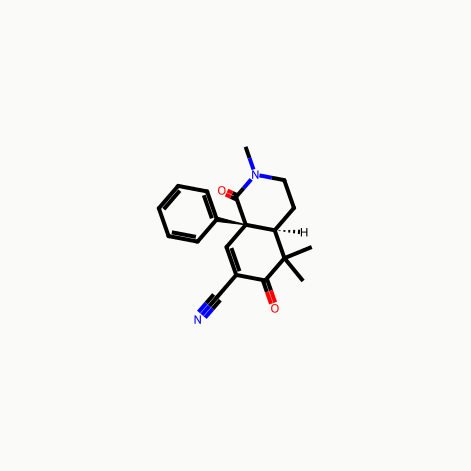 CN1CC[C@H]2C(C)(C)C(=O)C(C#N)=C[C@]2(c2ccccc2)C1=O